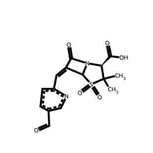 CC1(C)[C@H](C(=O)O)N2C(=O)/C(=C/c3ccc(C=O)cn3)C2S1(=O)=O